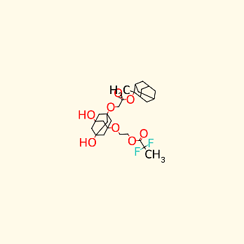 CC(F)(F)C(=O)OCCOC12CC3(O)CC(O)(C1)CC(OCC(=O)OC1(C)C4CC5CC(C4)CC1C5)(C3)C2